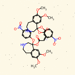 COc1cc2c(cc1OC)C(OC(=O)/C=C\C(=O)OC1(Oc3ccc([N+](=O)[O-])cc3)CNCCc3cc(OC)c(OC)cc31)(Oc1ccc([N+](=O)[O-])cc1)CNCC2